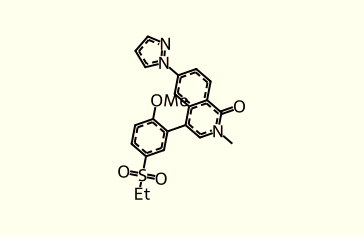 CCS(=O)(=O)c1ccc(OC)c(-c2cn(C)c(=O)c3ccc(-n4cccn4)cc23)c1